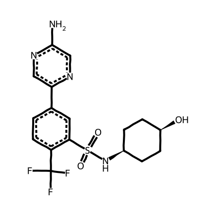 Nc1cnc(-c2ccc(C(F)(F)F)c(S(=O)(=O)N[C@H]3CC[C@@H](O)CC3)c2)cn1